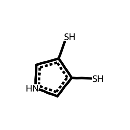 Sc1c[nH]cc1S